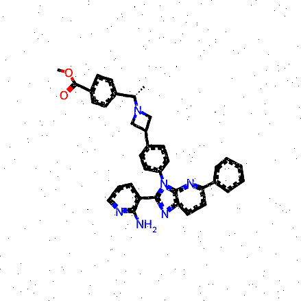 COC(=O)c1ccc([C@H](C)N2CC(c3ccc(-n4c(-c5cccnc5N)nc5ccc(-c6ccccc6)nc54)cc3)C2)cc1